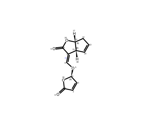 O=C1C=C[C@H](O/C=C2/C(=O)O[C@@H]3CC=C[C@H]23)O1